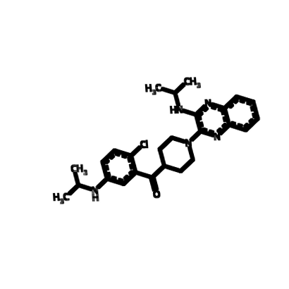 CC(C)Nc1ccc(Cl)c(C(=O)C2CCN(c3nc4ccccc4nc3NC(C)C)CC2)c1